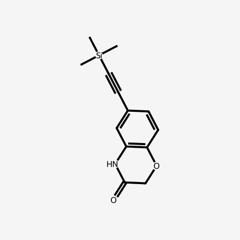 C[Si](C)(C)C#Cc1ccc2c(c1)NC(=O)CO2